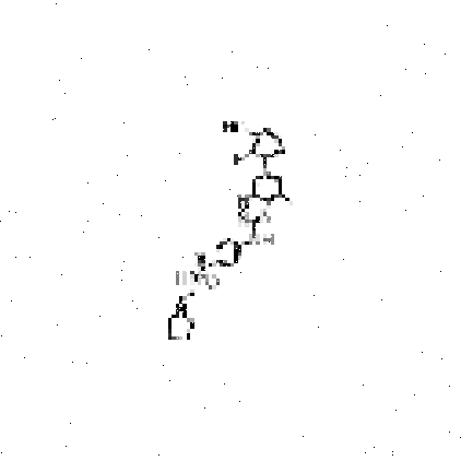 Cc1cc(-c2cccc(O)c2F)cc2nnc(Nc3ccc(S(=O)(=O)NCCN4CCCC4)cc3)nc12